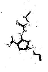 C=CCOc1ccc(C(C)=O)c(OCC(=O)OCC)c1